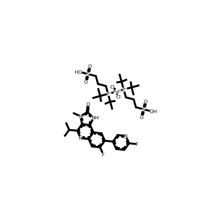 CC(C)(C)[P+](CCCS(=O)(=O)O)(C(C)(C)C)[Pd-2]([Cl])([Cl])[P+](CCCS(=O)(=O)O)(C(C)(C)C)C(C)(C)C.CC(C)c1nc2cc(F)c(-c3ccc(F)nc3)cc2c2[nH]c(=O)n(C)c12